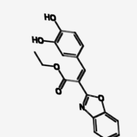 CCOC(=O)C(=Cc1ccc(O)c(O)c1)c1nc2ccccc2o1